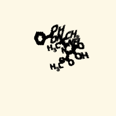 COC(=O)c1nc(C(C)(C)NOC(=O)c2ccccc2)[nH]c(=O)c1O